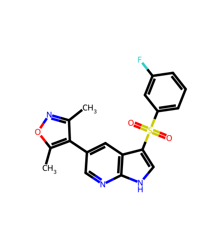 Cc1noc(C)c1-c1cnc2[nH]cc(S(=O)(=O)c3cccc(F)c3)c2c1